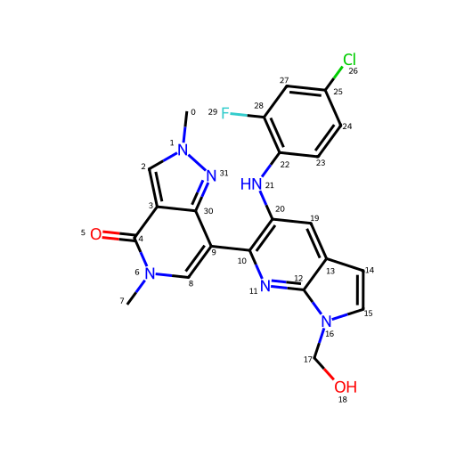 Cn1cc2c(=O)n(C)cc(-c3nc4c(ccn4CO)cc3Nc3ccc(Cl)cc3F)c2n1